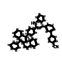 N#Cc1ccc(-c2cccc(CNC(Nc3ccccc3)c3ccc(-c4c5ccccc5c(-c5ccccc5)c5ccc6ccccc6c45)cc3)c2)cc1